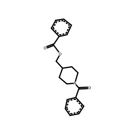 O=C(OCC1CCN(C(=O)c2ccccc2)CC1)c1ccccc1